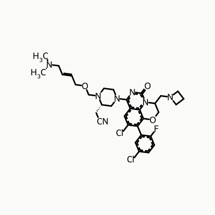 CN(C)C/C=C/COCN1CCN(c2nc(=O)n3c4c(c(-c5cc(Cl)ccc5F)c(Cl)cc24)OCC3CN2CCC2)C[C@@H]1CC#N